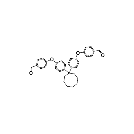 O=Cc1ccc(Oc2ccc(C3(c4ccc(Oc5ccc(C=O)cc5)cc4)CCCCCCC3)cc2)cc1